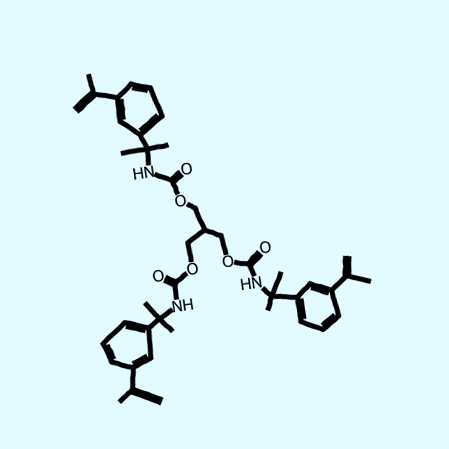 C=C(C)c1cccc(C(C)(C)NC(=O)OCC(COC(=O)NC(C)(C)c2cccc(C(=C)C)c2)COC(=O)NC(C)(C)c2cccc(C(=C)C)c2)c1